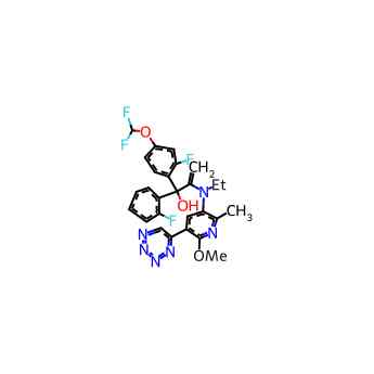 C=C(N(CC)c1cc(-c2cnnnn2)c(OC)nc1C)C(O)(c1ccccc1F)c1ccc(OC(F)F)cc1F